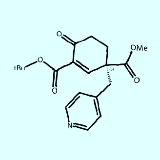 COC(=O)[C@@]1(Cc2ccncc2)C=C(C(=O)OC(C)(C)C)C(=O)CC1